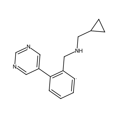 [c]1cccc(-c2cncnc2)c1CNCC1CC1